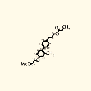 C=CC(=O)OCCCc1ccc(-c2ccc(OCCOC)cc2C)cc1